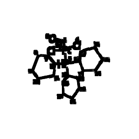 O=[CH][Pt]([Cl])([Cl])[PH](C1CCCCC1)(C1CCCCC1)C1CCCCC1